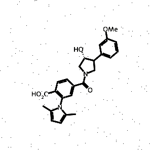 COc1cccc(C2CN(C(=O)c3ccc(C(=O)O)c(-n4c(C)ccc4C)c3)C[C@@H]2O)c1